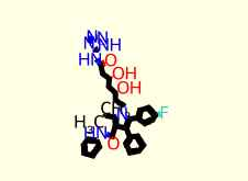 CC(C)c1c(C(=O)Nc2ccccc2)c(-c2ccccc2)c(-c2ccc(F)cc2)n1CC[C@@H](O)C[C@@H](O)CC(=O)Nc1nnn[nH]1